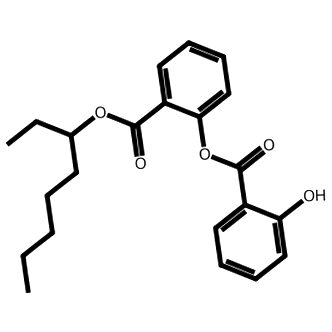 CCCCCC(CC)OC(=O)c1ccccc1OC(=O)c1ccccc1O